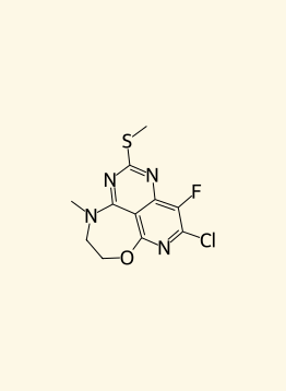 CSc1nc2c3c(nc(Cl)c(F)c3n1)OCCN2C